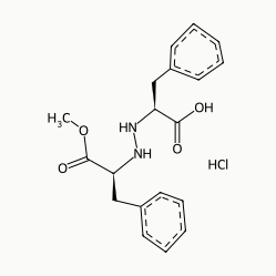 COC(=O)[C@H](Cc1ccccc1)NN[C@@H](Cc1ccccc1)C(=O)O.Cl